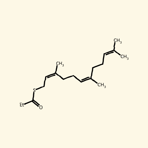 CCC(=O)SCC=C(C)CCC=C(C)CCC=C(C)C